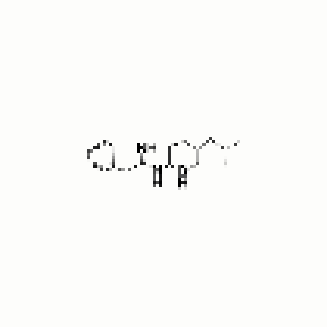 C=C(C)CC1CBC(NC(=N)Cc2ccccc2)CC1